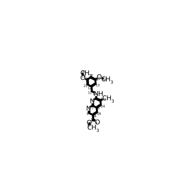 COC(=O)c1cnc2nc(NCc3cc(OC)cc(OC)c3)c(C)cc2c1